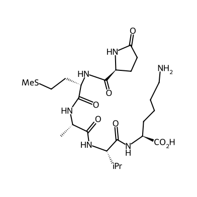 CSCC[C@H](NC(=O)[C@@H]1CCC(=O)N1)C(=O)N[C@@H](C)C(=O)N[C@H](C(=O)N[C@@H](CCCCN)C(=O)O)C(C)C